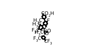 Cc1cc(C(=O)O)ccc1-c1cc(-c2c(C)cc(C(F)(F)F)cc2CN2C(=O)O[C@H](c3cc(C(F)(F)F)cc(C(F)(F)F)c3)[C@@H]2C)c(F)cc1F